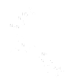 COC(=O)N[C@@H](C=C(C)C)C(=O)N1CCC[C@H]1c1ncc(-c2ccc3c(c2)O[C@@H](c2ccccc2)n2c-3cc3cc(-c4cnc([C@@H]5CCCN5C(=O)[C@@H](NC(=O)OC)C(C)C)[nH]4)ccc32)[nH]1